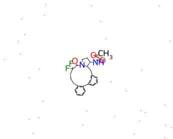 CS(=O)(=O)NC1CCN2C(=O)C(F)(F)CCCc3ccccc3-c3cccc(c3)CC12